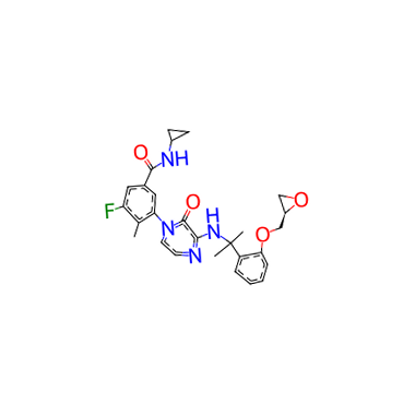 Cc1c(F)cc(C(=O)NC2CC2)cc1-n1ccnc(NC(C)(C)c2ccccc2OC[C@H]2CO2)c1=O